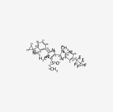 CC[S+]([O-])c1c(-c2nc3cc(C(F)(F)C(F)(F)F)cnc3n2C)nc(-c2cccc(C3(N)CC3)c2)n1C